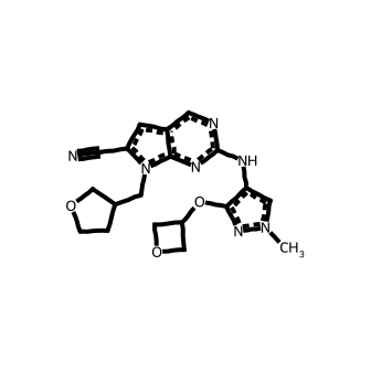 Cn1cc(Nc2ncc3cc(C#N)n(CC4CCOC4)c3n2)c(OC2COC2)n1